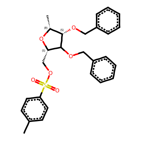 Cc1ccc(S(=O)(=O)OC[C@@H]2O[C@H](C)[C@H](OCc3ccccc3)C2OCc2ccccc2)cc1